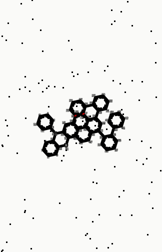 c1ccc(B2c3ccccc3Oc3c2cc2ccc4c(-c5ccccc5-c5ccccc5)cc(-c5ccccc5-c5ccccc5)c5ccc3c2c45)cc1